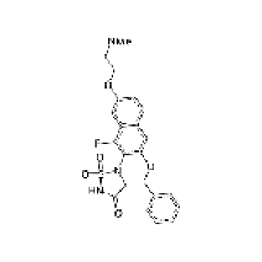 CNCCOc1ccc2cc(OCc3ccccc3)c(N3CC(=O)NS3(=O)=O)c(F)c2c1